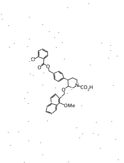 COc1c(COC2CN(C(=O)O)CCC2c2ccc(COC(=O)c3ccccc3Cl)cc2)ccc2ccccc12